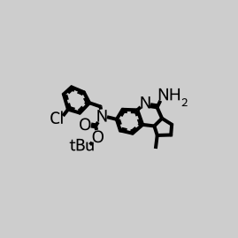 CC1CCC2C(N)=Nc3cc(N(Cc4cccc(Cl)c4)C(=O)OC(C)(C)C)ccc3C12